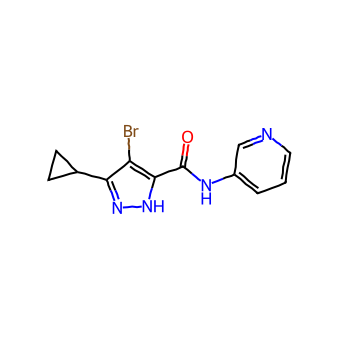 O=C(Nc1cccnc1)c1[nH]nc(C2CC2)c1Br